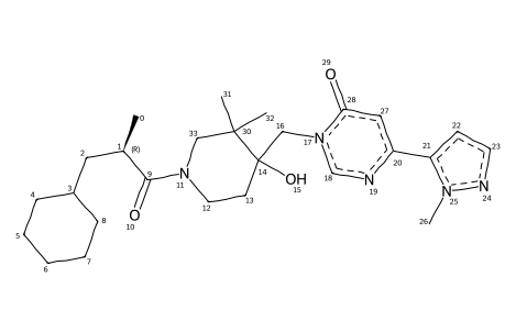 C[C@H](CC1CCCCC1)C(=O)N1CCC(O)(Cn2cnc(-c3ccnn3C)cc2=O)C(C)(C)C1